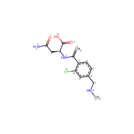 C=C(N[C@@H](CC(N)=O)C(=O)O)c1ccc(CNC)cc1Cl